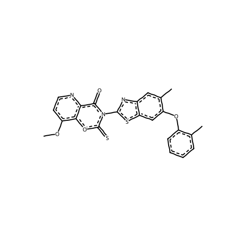 COc1ccnc2c(=O)n(-c3nc4cc(C)c(Oc5ccccc5C)cc4s3)c(=S)oc12